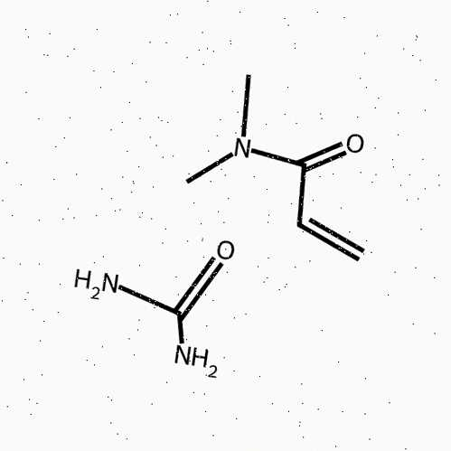 C=CC(=O)N(C)C.NC(N)=O